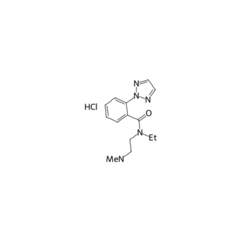 CCN(CCNC)C(=O)c1ccccc1-n1nccn1.Cl